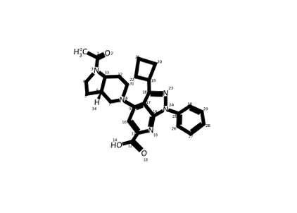 CC(=O)N1CC[C@H]2CN(c3cc(C(=O)O)nc4c3c(C3CCC3)nn4-c3ccccc3)CCC21